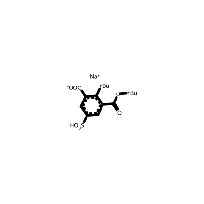 CCCCOC(=O)c1cc(S(=O)(=O)O)cc(C(=O)[O-])c1CCCC.[Na+]